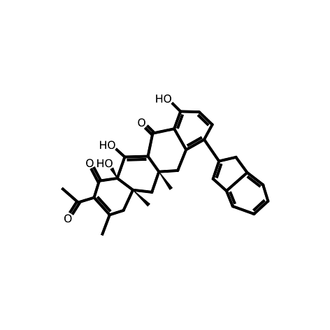 CC(=O)C1=C(C)C[C@@]2(C)C[C@@]3(C)Cc4c(C5=Cc6ccccc6C5)ccc(O)c4C(=O)C3=C(O)[C@@]2(O)C1=O